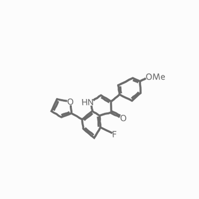 COc1ccc(-c2c[nH]c3c(-c4ccco4)ccc(F)c3c2=O)cc1